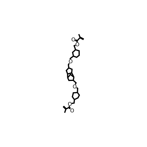 C=C(C)C(=O)OCC1CCC(COCC2CC3CC2C2CC(COCC4CCCC(COC(=O)C(=C)C)C4)CC32)CC1